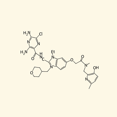 CCn1c(CNC(=O)c2nc(Cl)c(N)nc2N)[n+](CC2CCOCC2)c2ccc(OCC(=O)N(C)Cc3nc(C)ccc3O)cc21